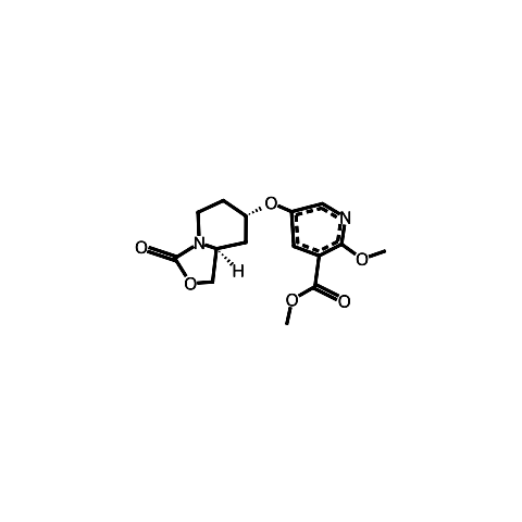 COC(=O)c1cc(O[C@H]2CCN3C(=O)OC[C@@H]3C2)cnc1OC